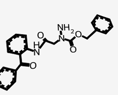 NN(CC(=O)Nc1ccccc1C(=O)c1ccccc1)C(=O)OCc1ccccc1